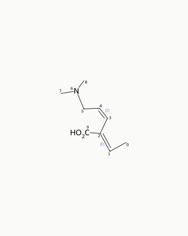 C/C=C(\C=C/CN(C)C)C(=O)O